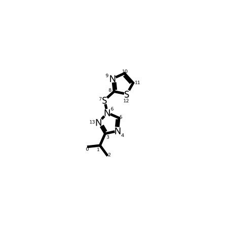 CC(C)c1ncn(Sc2nccs2)n1